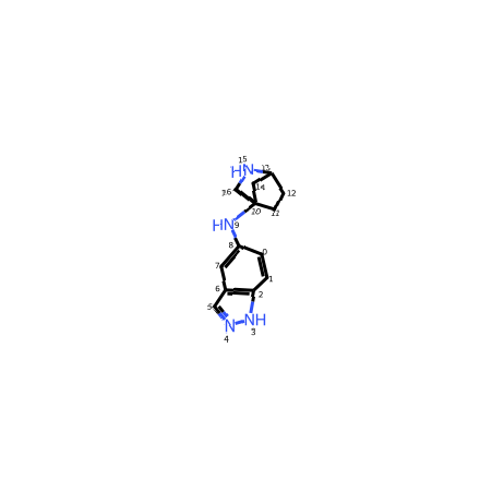 c1cc2[nH]ncc2cc1NC12CCC(C1)NC2